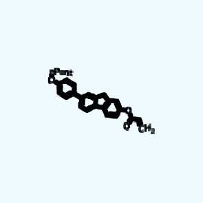 C=CC(=O)Oc1ccc2c(c1)Cc1cc(-c3ccc(OCCCCC)cc3)ccc1-2